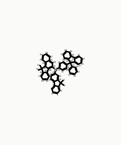 CC1(C)c2ccccc2-c2ccc(N(c3ccc(C4(c5ccccc5)c5ccccc5-c5ccccc54)cc3)c3cc4ccccc4c4c3-c3ccccc3C4(C)C)cc21